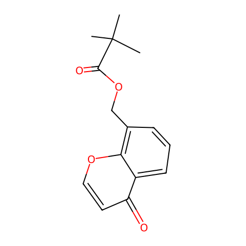 CC(C)(C)C(=O)OCc1cccc2c(=O)ccoc12